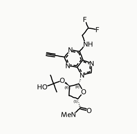 C#Cc1nc(NCC(F)F)c2ncn([C@@H]3O[C@H](C(=O)NC)C[C@H]3OC(C)(C)O)c2n1